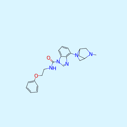 CN1CC2CC1CN2c1cccc2c1ncn2C(=O)NCCOc1ccccc1